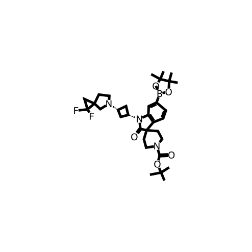 CC(C)(C)OC(=O)N1CCC2(CC1)C(=O)N([C@H]1C[C@@H](N3CCC4(C3)CC4(F)F)C1)c1cc(B3OC(C)(C)C(C)(C)O3)ccc12